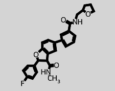 CNC(=O)C1c2cc(-c3cccc(C(=O)NCC4CCCO4)c3)ccc2OC1c1ccc(F)cc1